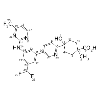 CC1(C(=O)O)CCC(O)(c2ccc(-c3cc(Nc4nccc(C(F)(F)F)n4)cc(C(F)F)c3)cn2)CC1